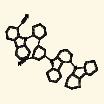 N#Cc1cc(-c2ccccc2-n2c3ccccc3c3cccc(C#N)c32)cc(-n2c3ccccc3c3c(-n4c5ccccc5c5ccccc54)cccc32)c1